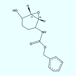 O=C(NC1CCC(O)[C@@H]2O[C@H]12)OCc1ccccc1